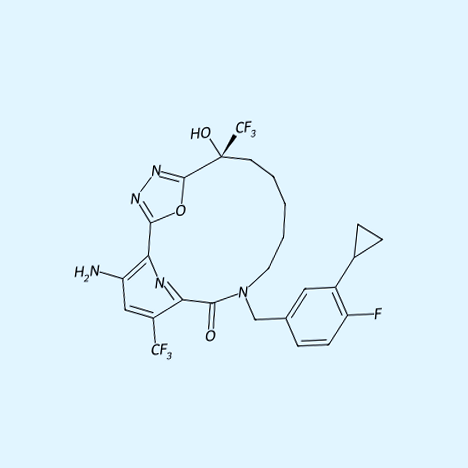 Nc1cc(C(F)(F)F)c2nc1-c1nnc(o1)[C@@](O)(C(F)(F)F)CCCCCN(Cc1ccc(F)c(C3CC3)c1)C2=O